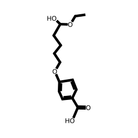 CCOC(O)CCCCOc1ccc(C(=O)O)cc1